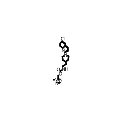 Cn1ncnc1COC(=O)NCCC1CCN(c2ccc3cc(Cl)ccc3n2)CC1